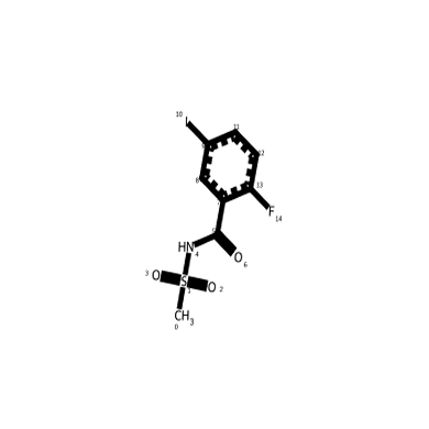 CS(=O)(=O)NC(=O)c1cc(I)ccc1F